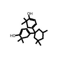 CC1CC(C)(C)CC(C2=CC=C(O)C(C)(C)C2)(C2=CC=C(O)C(C)(C)C2)C1